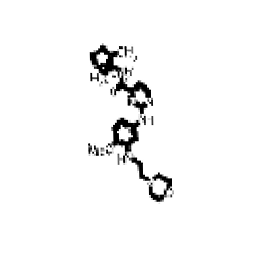 COc1ccc(Nc2nccc(C(=O)NC3CC4CCC3(C)C4(C)C)n2)cc1NCCN1CCOCC1